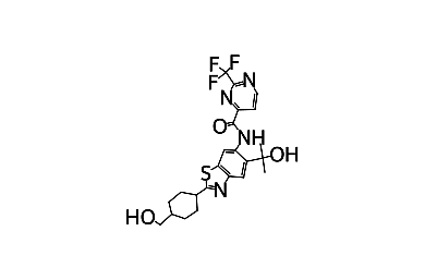 CC(C)(O)c1cc2nc(C3CCC(CO)CC3)sc2cc1NC(=O)c1ccnc(C(F)(F)F)n1